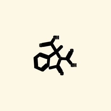 CC(=O)N(C(=O)O)C(C)(C(=O)O)c1ccccc1